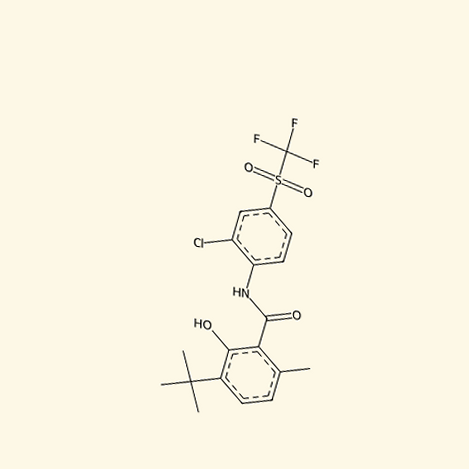 Cc1ccc(C(C)(C)C)c(O)c1C(=O)Nc1ccc(S(=O)(=O)C(F)(F)F)cc1Cl